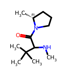 CNC(C(=O)N1CCC[C@H]1C)C(C)(C)C